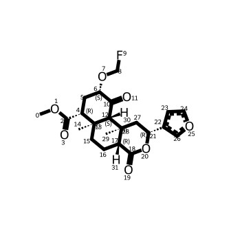 COC(=O)[C@@H]1C[C@H](OCF)C(=O)[C@H]2[C@@]1(C)CC[C@H]1C(=O)O[C@@H](c3ccoc3)C[C@]21C